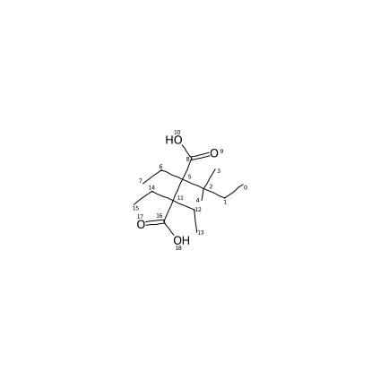 CCC(C)(C)C(CC)(C(=O)O)C(CC)(CC)C(=O)O